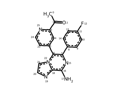 CC(=O)c1cc(-c2c(-c3ccc(F)cc3)nc(N)c3nccn23)ccn1